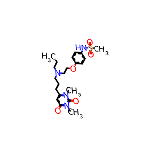 CCCN(CCCc1cc(=O)n(C)c(=O)n1C)CCOc1ccc(NS(C)(=O)=O)cc1